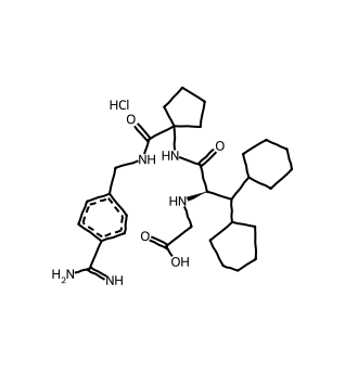 Cl.N=C(N)c1ccc(CNC(=O)C2(NC(=O)[C@H](NCC(=O)O)C(C3CCCCC3)C3CCCCC3)CCCC2)cc1